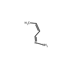 C/C=C\C=N/N